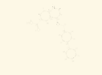 O=C(O)c1ccc2nccc(OCc3ccc(-c4ccccc4)cc3)c2c1